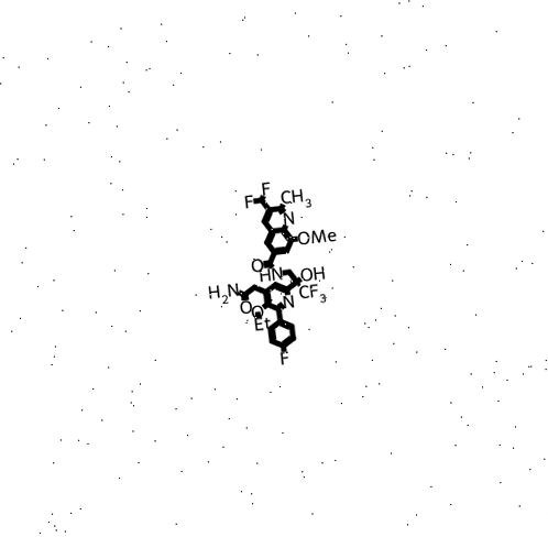 CCOc1c(CC(N)=O)cc([C@@](O)(CNC(=O)c2cc(OC)c3nc(C)c(C(F)F)cc3c2)C(F)(F)F)nc1-c1ccc(F)cc1